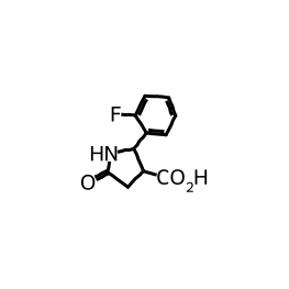 O=C1CC(C(=O)O)C(c2ccccc2F)N1